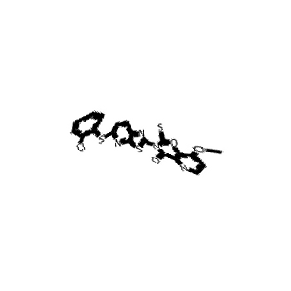 COc1ccnc2c(=O)n(-c3nc4ccc(Sc5ccccc5Cl)nc4s3)c(=S)oc12